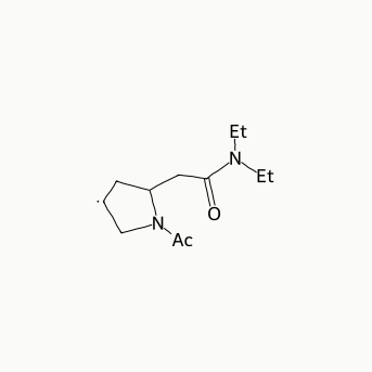 CCN(CC)C(=O)CC1C[CH]CN1C(C)=O